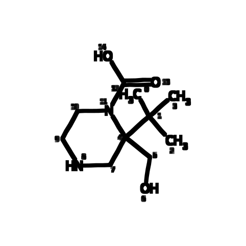 CC(C)(C)C1(CO)CNCCN1C(=O)O